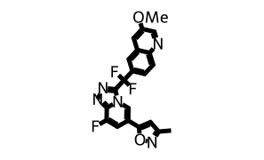 COc1cnc2ccc(C(F)(F)c3nnc4c(F)cc(-c5cc(C)no5)cn34)cc2c1